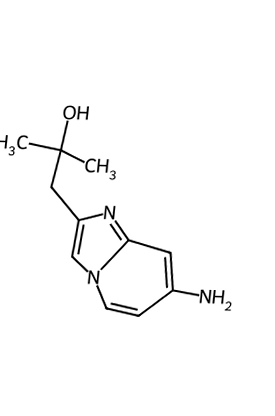 CC(C)(O)Cc1cn2ccc(N)cc2n1